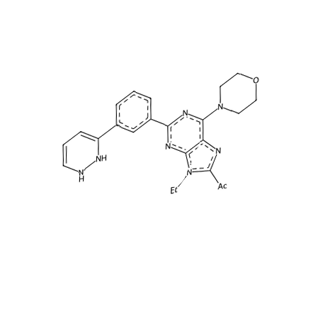 CCn1c(C(C)=O)nc2c(N3CCOCC3)nc(-c3cccc(C4=CC=CNN4)c3)nc21